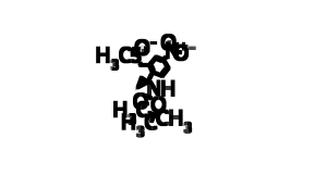 C[S+]([O-])Cc1cc([N+](=O)[O-])ccc1C1(NC(=O)OC(C)(C)C)CC1